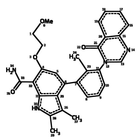 COCCOc1cc(-c2cccc(-n3cnc4ccccc4c3=O)c2C)c2c(C)c(C)[nH]c2c1C(N)=O